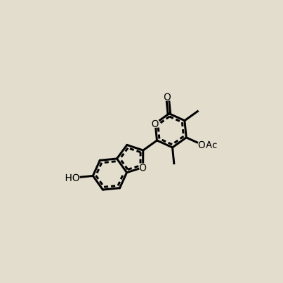 CC(=O)Oc1c(C)c(-c2cc3cc(O)ccc3o2)oc(=O)c1C